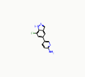 Nc1ccc(-c2cc(Cl)c3[nH]ncc3c2)cn1